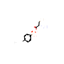 Cc1ccc(S(=O)(=O)OC(=O)[C@@H](N)CS)cc1